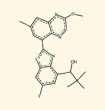 COc1cnc2c(-c3nc4c(C(O)C(C)(C)C)cc(F)cc4s3)cc(C)cc2n1